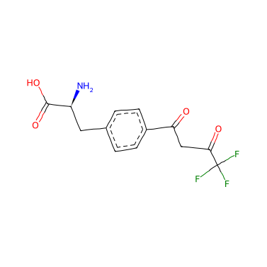 N[C@@H](Cc1ccc(C(=O)CC(=O)C(F)(F)F)cc1)C(=O)O